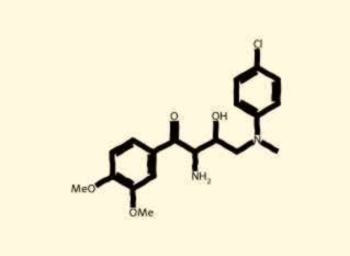 COc1ccc(C(=O)C(N)C(O)CN(C)c2ccc(Cl)cc2)cc1OC